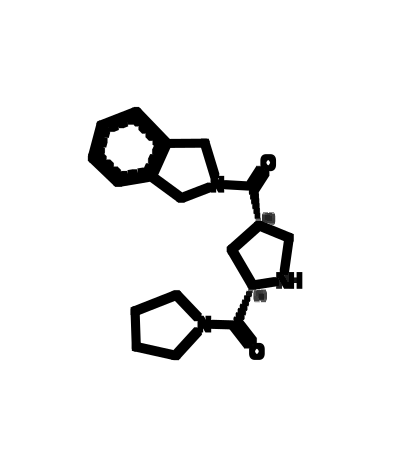 O=C([C@@H]1CN[C@H](C(=O)N2CCCC2)C1)N1Cc2ccccc2C1